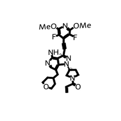 C=CC(=O)N1CC[C@H](n2nc(C#Cc3c(F)c(OC)nc(OC)c3F)c3c(N)ncc(CC4CCOCC4)c32)C1